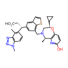 Cc1c([C@H](CC(=O)O)c2cc(CN3C[C@@H](C4CC4)Oc4ccc(O)nc4[C@H]3C)c3sccc3c2)ccc2c1nnn2C